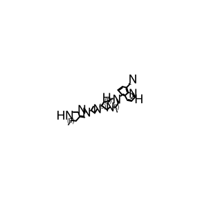 [2H]c1ccc2c(N3C[C@@H]4C[C@H](N5CC(n6cc7c(n6)CN[C@H](C)C7)C5)CN4[C@H](C)C3)ccc(C#N)c2n1